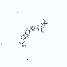 O=C(O)CC1CCn2c1cc1cc(-c3noc(-c4cc(Br)cc(OC(F)(F)F)c4)n3)ccc12